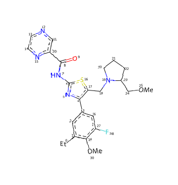 CCc1cc(-c2nc(NC(=O)c3cnccn3)sc2CN2CCCC2COC)cc(F)c1OC